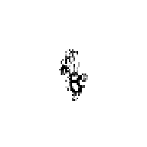 O=C(O)Oc1cnn(-c2nc3cc(Cl)ccc3c(=O)[nH]2)c1